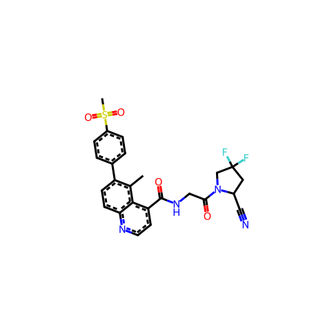 Cc1c(-c2ccc(S(C)(=O)=O)cc2)ccc2nccc(C(=O)NCC(=O)N3CC(F)(F)CC3C#N)c12